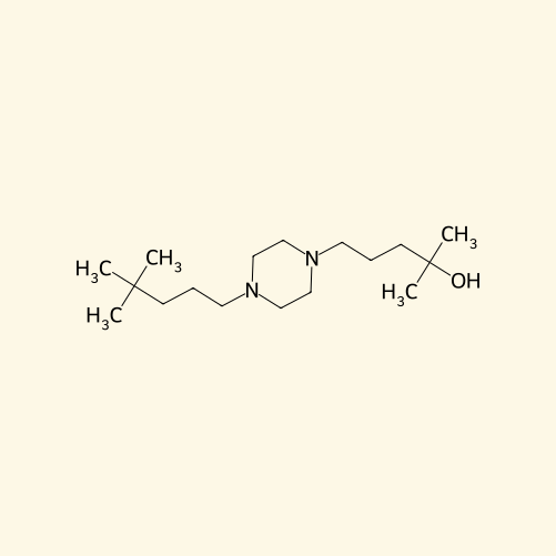 CC(C)(C)CCCN1CCN(CCCC(C)(C)O)CC1